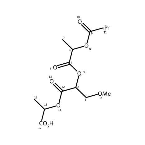 COCC(OC(=O)C(C)OC(=O)C(C)C)C(=O)OC(C)C(=O)O